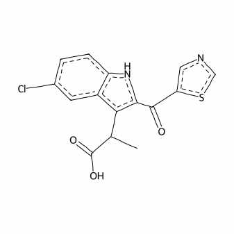 CC(C(=O)O)c1c(C(=O)c2cncs2)[nH]c2ccc(Cl)cc12